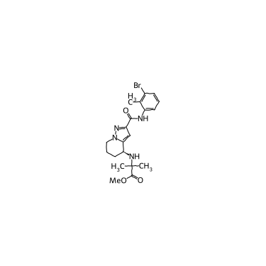 COC(=O)C(C)(C)N[C@H]1CCCn2nc(C(=O)Nc3cccc(Br)c3C)cc21